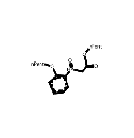 CCCCCOC(=O)C[PH](=O)c1ccccc1OCCCCC